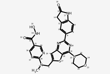 CN(Cc1cc2nc(-c3ccc4c(c3)CC(=O)N4)nc(N3CCOCC3)c2s1)c1ncc(C(=O)NO)cn1